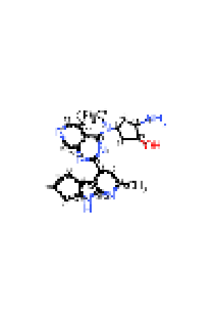 Cc1cc(-c2nc(N(C)C3CC(N)C(O)C3)c3c(C(F)(F)F)cncc3n2)c2c(n1)[nH]c1ccccc12